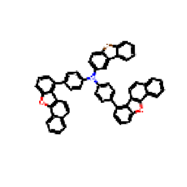 c1ccc2c(c1)ccc1c2oc2cccc(-c3ccc(N(c4ccc(-c5cccc6oc7c8ccccc8ccc7c56)cc4)c4ccc5sc6ccccc6c5c4)cc3)c21